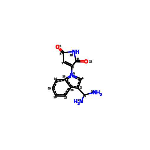 NC(N)c1cn(C2=CC(=O)NC2=O)c2ccccc12